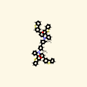 Cc1cc(-c2ccc(N(c3ccc(-c4ccc5sc6ccccc6c5c4)cc3)c3ccccc3-c3cccc4c3sc3ccccc34)c(C)c2)ccc1N(c1ccc(-c2ccc3sc4ccccc4c3c2)cc1)c1ccccc1-c1cccc2c1sc1ccccc12